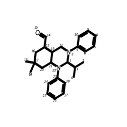 CC(C)C1N(c2ccccc2)CC2C(C=O)CC(C)(C)CC2N1c1ccccc1